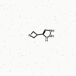 C1=C(C2C[N]C2)NNN1